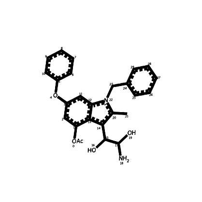 CC(=O)Oc1cc(Oc2ccccc2)cc2c1c(C(O)C(N)O)c(C)n2Cc1ccccc1